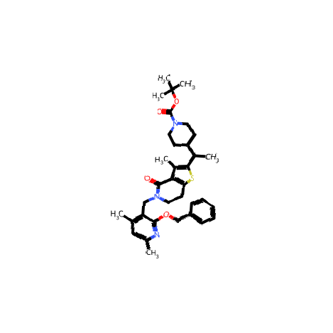 Cc1cc(C)c(CN2CCc3sc(C(C)C4CCN(C(=O)OC(C)(C)C)CC4)c(C)c3C2=O)c(OCc2ccccc2)n1